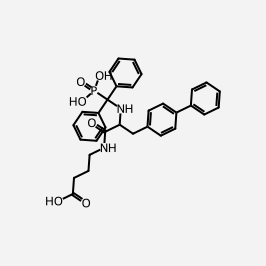 O=C(O)CCCNC(=O)C(Cc1ccc(-c2ccccc2)cc1)NC(c1ccccc1)(c1ccccc1)P(=O)(O)O